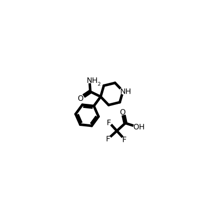 NC(=O)C1(c2ccccc2)CCNCC1.O=C(O)C(F)(F)F